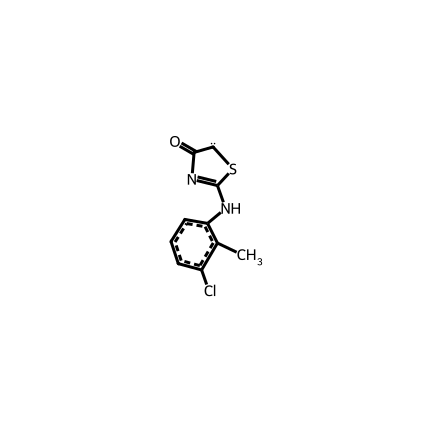 Cc1c(Cl)cccc1NC1=NC(=O)[C]S1